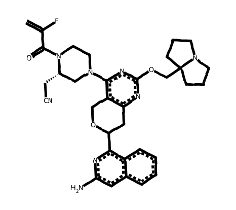 C=C(F)C(=O)N1CCN(c2nc(OCC34CCCN3CCC4)nc3c2COC(c2nc(N)cc4ccccc24)C3)C[C@@H]1CC#N